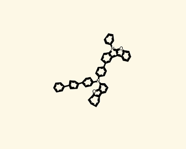 c1ccc(-c2ccc(-c3ccc(N(c4ccc(-c5ccc6c(c5)c5c7ccccc7oc5n6-c5ccccc5)cc4)c4cccc5c4oc4ccccc45)cc3)cc2)cc1